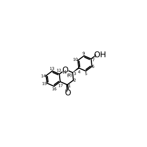 O=C1C[C@H](c2ccc(O)cc2)Oc2ccccc21